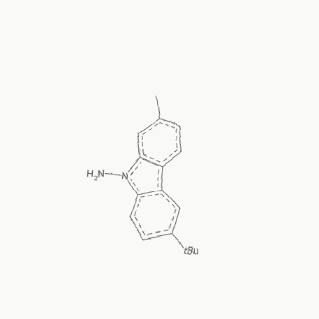 Cc1ccc2c3cc(C(C)(C)C)ccc3n(N)c2c1